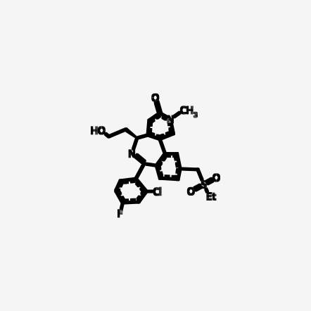 CCS(=O)(=O)Cc1ccc2c(c1)-c1cn(C)c(=O)cc1[C@H](CCO)N=C2c1ccc(F)cc1Cl